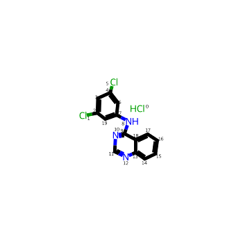 Cl.Clc1cc(Cl)cc(Nc2ncnc3ccccc23)c1